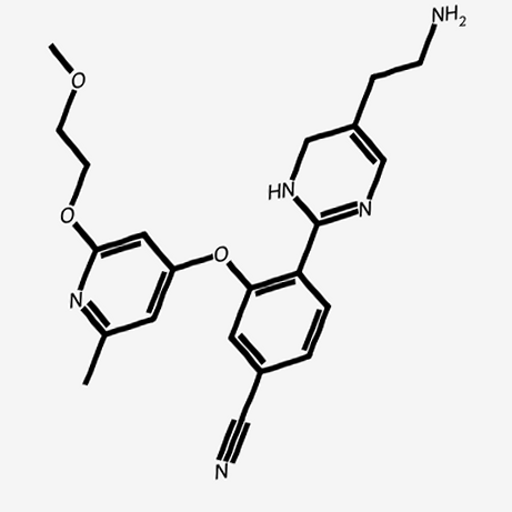 COCCOc1cc(Oc2cc(C#N)ccc2C2=NC=C(CCN)CN2)cc(C)n1